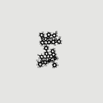 Cc1ccc(N(c2cc3c(c4cc(-c5ccc(N6c7ccccc7C7(c8ccccc86)c6ccc8ccccc8c6-c6c7cc(N(c7ccc(F)cc7)c7cccc8c7oc7c(C)cccc78)c7ccccc67)cc5)ccc24)-c2c(ccc4ccccc24)C32c3ccccc3N(c3ccccc3)c3ccccc32)c2cccc3c2oc2c(C)cccc23)c(C)c1